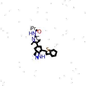 Cc1nc(NC(=O)C(C)C)ccc1-c1cc(-c2cc3ccccc3s2)c2[nH]ncc2c1